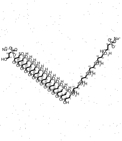 O=S(=O)(O)CCO.O=S(=O)(O)CCO.O=S(=O)(O)CCO.O=S(=O)(O)CCO.O=S(=O)(O)CCO.O=S(=O)(O)CCO.O=S(=O)(O)CCO.O=S(=O)(O)CCO.O=S(=O)(O)CCO.O=S(=O)(O)CCO.O=S(=O)(O)CCO.O=S(=O)(O)CCO.O=S(=O)(O)CCO.O=S(=O)(O)CCO.O=S(=O)(O)CCO.O=S(=O)(O)CCO.O=S(=O)(O)CCO.O=S(=O)(O)CCO.O=S(=O)([O-])CCO.O=S(=O)([O-])CCO.[Na+].[Na+]